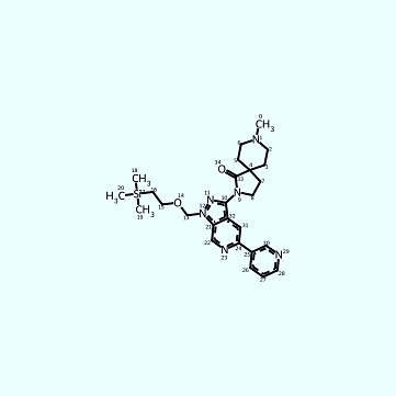 CN1CCC2(CC1)CCN(c1nn(COCC[Si](C)(C)C)c3cnc(-c4cccnc4)cc13)C2=O